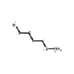 NSCCCCBr